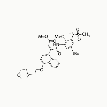 COC(=O)/C=C(\C(=O)Nc1cc(C(C)(C)C)cc(NS(C)(=O)=O)c1OC)c1ccc(OCCN2CCOCC2)c2ccccc12